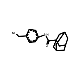 N#CCc1ccc(NC(=O)C23CC4CC(CC(C4)C2)C3)cc1